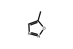 Cc1[c]nno1